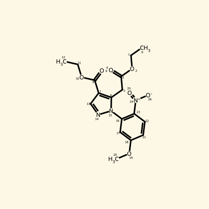 CCOC(=O)Cc1c(C(=O)OCC)cnn1-c1cc(OC)ccc1[N+](=O)[O-]